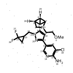 COCCN1C[C@@H]2[C@@H]3C1[C@@]23c1cc(-c2cnc(N)c(Cl)c2)nn1CC1CC1(F)F